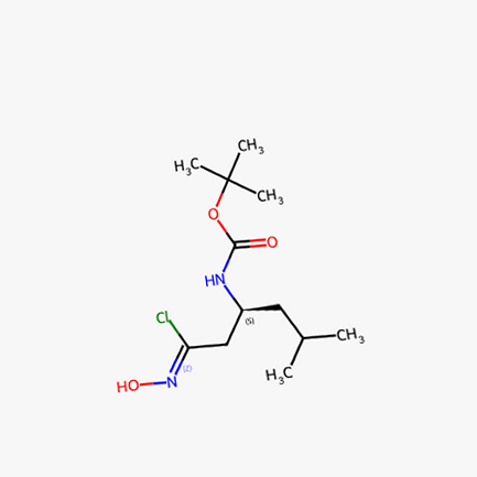 CC(C)C[C@@H](C/C(Cl)=N/O)NC(=O)OC(C)(C)C